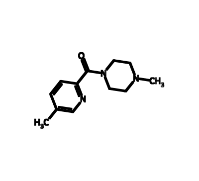 Cc1ccc(C(=O)N2CCN(C)CC2)nc1